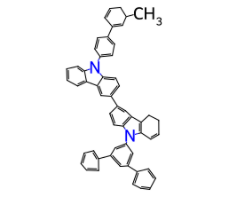 CC1C=C(c2ccc(-n3c4ccccc4c4cc(-c5ccc6c(c5)c5c(n6-c6cc(-c7ccccc7)cc(-c7ccccc7)c6)C=CCC5)ccc43)cc2)C=CC1